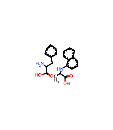 CC(Nc1cccc2ccccc12)C(=O)O.NC(Cc1ccccc1)C(=O)O